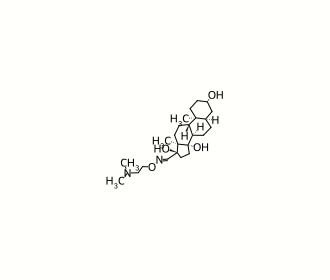 CN(C)CCO/N=C/[C@@]1(O)CC[C@]2(O)[C@@H]3CC[C@@H]4C[C@@H](O)CC[C@]4(C)[C@H]3CC[C@]12C